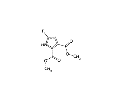 COC(=O)c1cc(F)[nH]c1C(=O)OC